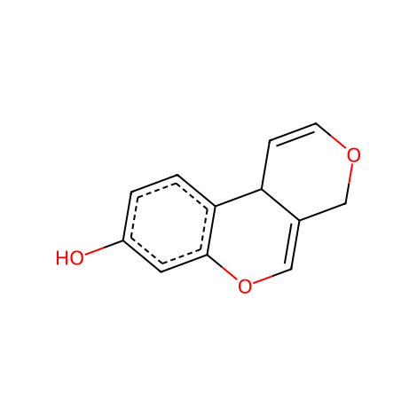 Oc1ccc2c(c1)OC=C1COC=CC12